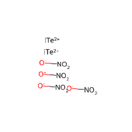 O=[N+]([O-])[O-].O=[N+]([O-])[O-].O=[N+]([O-])[O-].O=[N+]([O-])[O-].[Te+2].[Te+2]